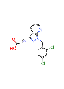 O=C(O)/C=C/c1nn(Cc2ccc(Cl)cc2Cl)c2ncccc12